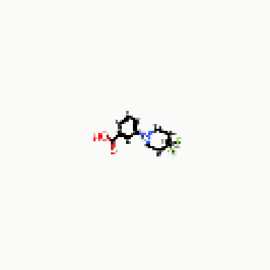 O=C(O)c1cccc(N2CCC(F)(F)CC2)c1